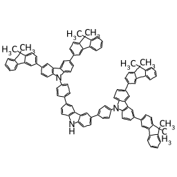 CC1(C)c2ccccc2-c2cc(-c3ccc4c(c3)c3cc(-c5ccc6c(c5)-c5ccccc5C6(C)C)ccc3n4-c3ccc(-c4ccc5[nH]c6ccc(-c7ccc(-n8c9ccc(-c%10ccc%11c(c%10)-c%10ccccc%10C%11(C)C)cc9c9cc(-c%10ccc%11c(c%10)-c%10ccccc%10C%11(C)C)ccc98)cc7)cc6c5c4)cc3)ccc21